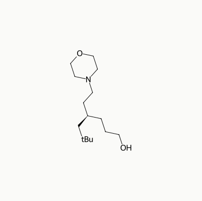 CC(C)(C)C[C@H](CCCO)CCN1CCOCC1